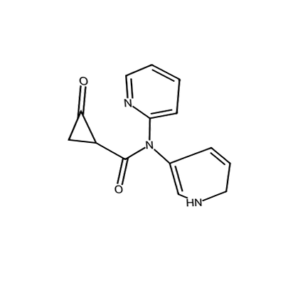 O=C1CC1C(=O)N(C1=CNCC=C1)c1ccccn1